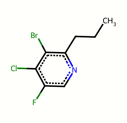 CCCc1ncc(F)c(Cl)c1Br